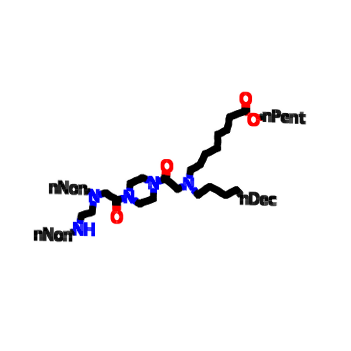 CCCCCCCCCCCCCCN(CCCCCCCC(=O)OCCCCC)CC(=O)N1CCN(C(=O)CN(CCCCCCCCC)CCNCCCCCCCCC)CC1